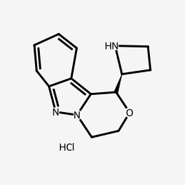 Cl.c1ccc2c3n(nc2c1)CCOC3[C@@H]1CCN1